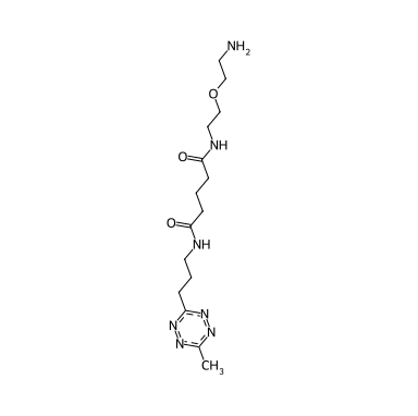 Cc1nnc(CCCNC(=O)CCCC(=O)NCCOCCN)nn1